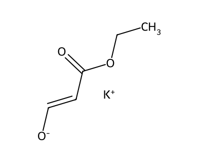 CCOC(=O)/C=C/[O-].[K+]